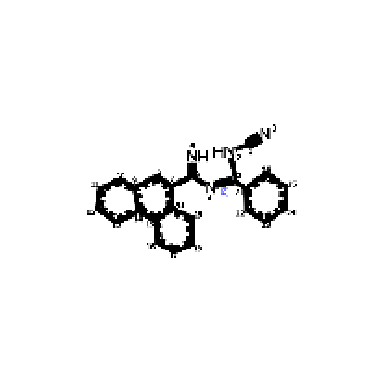 N#CN/C(=N\C(=N)c1cc2ccccc2c2ccccc12)c1ccccc1